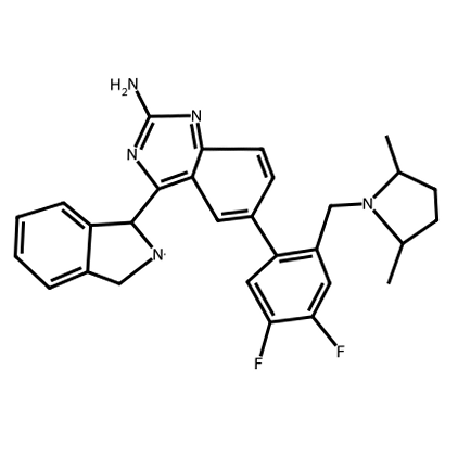 CC1CCC(C)N1Cc1cc(F)c(F)cc1-c1ccc2nc(N)nc(C3[N]Cc4ccccc43)c2c1